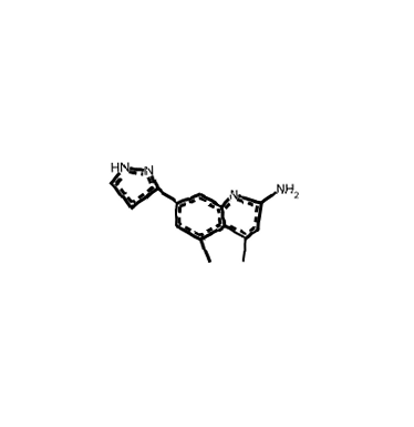 Cc1cc(-c2cc[nH]n2)cc2nc(N)cc(C)c12